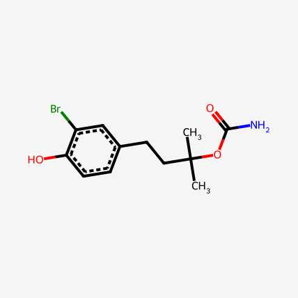 CC(C)(CCc1ccc(O)c(Br)c1)OC(N)=O